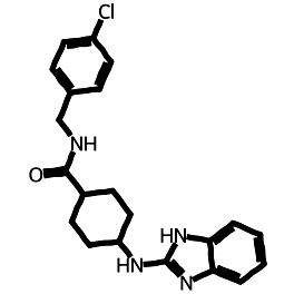 O=C(NCc1ccc(Cl)cc1)C1CCC(Nc2nc3ccccc3[nH]2)CC1